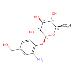 Nc1cc(CO)ccc1O[C@@H]1O[C@H](C(=O)O)[C@@H](O)[C@H](O)[C@H]1O